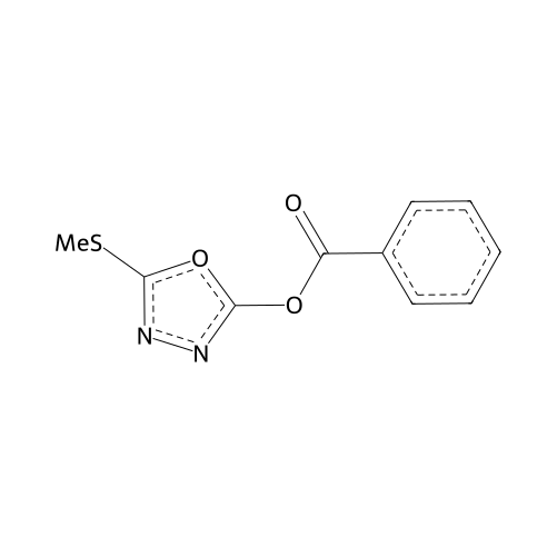 CSc1nnc(OC(=O)c2ccccc2)o1